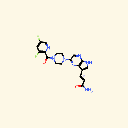 NC(=O)/C=C/c1c[nH]c2ncc(N3CCN(C(=O)c4ncc(F)cc4F)CC3)nc12